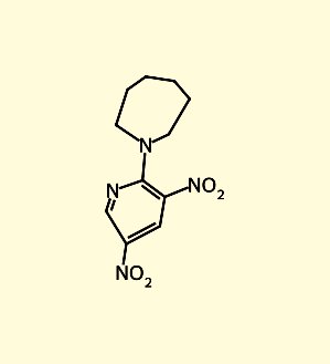 O=[N+]([O-])c1cnc(N2CCCCCC2)c([N+](=O)[O-])c1